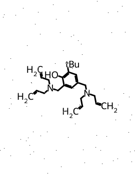 C=CCN(CC=C)Cc1cc(CN(CC=C)CC=C)c(O)c(C(C)(C)C)c1